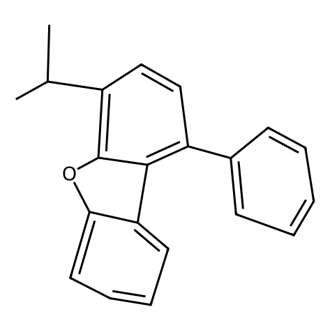 CC(C)c1ccc(-c2ccccc2)c2c1oc1ccccc12